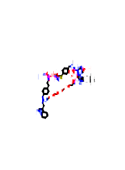 Cc1ncsc1-c1ccc([C@H](C)NC(=O)C2CC(O)CN2C(=O)[C@@H](NC(=O)CCOCCOCCOCCN(CCc2c[nH]c3ccccc23)Cc2ccc(/C=C/C(=O)NO)cc2)C(C)(C)C)cc1